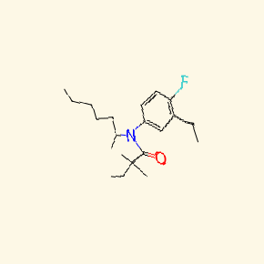 CCCCCC(C)N(C(=O)C(C)(C)CC)c1ccc(F)c(CC)c1